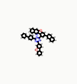 c1ccc(-c2ccc(C3=NC(c4ccc5c(c4)oc4ccccc45)=NC(c4cc(-c5ccc6ccccc6c5)cc5oc6cc7ccccc7cc6c45)N3)cc2)cc1